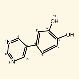 Oc1ccc(-c2[c]ncnc2)cc1O